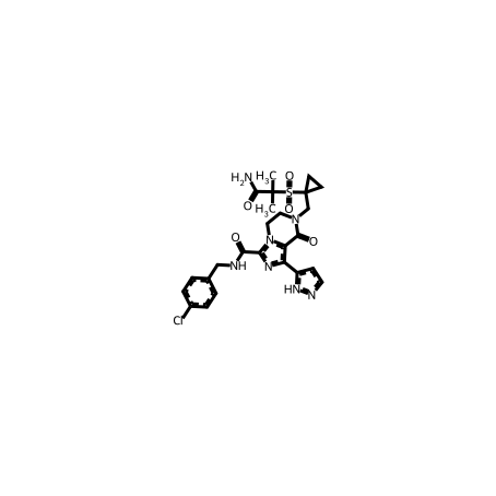 CC(C)(C(N)=O)S(=O)(=O)C1(CN2CCn3c(C(=O)NCc4ccc(Cl)cc4)nc(-c4ccn[nH]4)c3C2=O)CC1